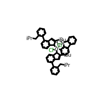 CCC(C)C1=Cc2c(-c3ccccc3CC(C)C)cccc2[CH]1[Zr]([Cl])([Cl])([c]1cccc2c1[SiH2]c1ccccc1-2)[CH]1C(C(C)CC)=Cc2c(-c3ccccc3CC(C)C)cccc21